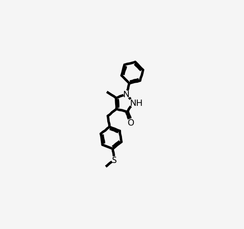 CSc1ccc(Cc2c(C)n(-c3ccccc3)[nH]c2=O)cc1